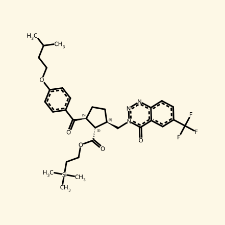 CC(C)CCOc1ccc(C(=O)[C@H]2CC[C@@H](Cn3nnc4ccc(C(F)(F)F)cc4c3=O)[C@@H]2C(=O)OCC[Si](C)(C)C)cc1